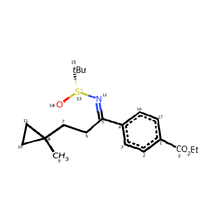 CCOC(=O)c1ccc(/C(CCC2(C)CC2)=N/[S@+]([O-])C(C)(C)C)cc1